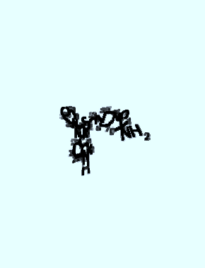 CC(C)(N)C(=O)N1CCN(Cc2cc3nc(-c4cccc5[nH]ncc45)nc(N4CCOCC4)c3s2)CC1